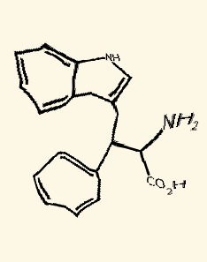 NC(C(=O)O)C(c1ccccc1)c1c[nH]c2ccccc12